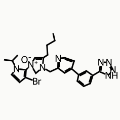 CCCCC1=C[N+]([O-])(c2c(Br)ccn2C(C)C)CN1Cc1cc(-c2cccc(-c3nnn[nH]3)c2)ccn1